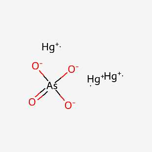 O=[As]([O-])([O-])[O-].[Hg+].[Hg+].[Hg+]